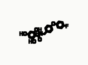 O=C(NCc1ccc(Oc2ccc(F)cc2)cc1)c1c(O)cc(O)cc1O